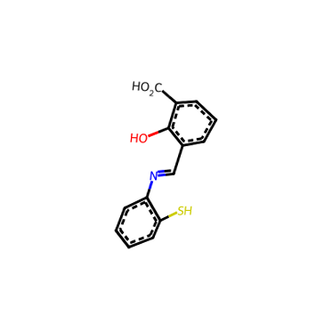 O=C(O)c1cccc(C=Nc2ccccc2S)c1O